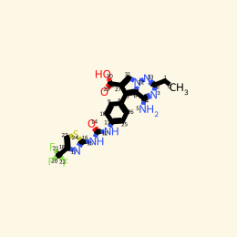 CCc1nc(N)c2c(-c3ccc(NC(=O)Nc4nc(C(F)(F)F)cs4)cc3)c(C(=O)O)cn2n1